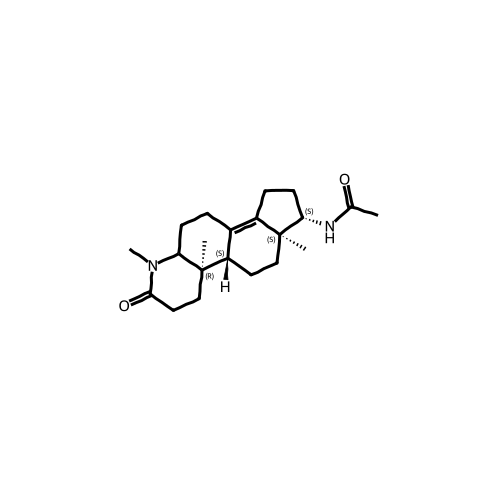 CC(=O)N[C@H]1CCC2=C3CCC4N(C)C(=O)CC[C@]4(C)[C@H]3CC[C@@]21C